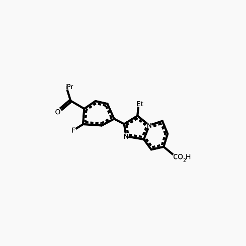 CCc1c(-c2ccc(C(=O)C(C)C)c(F)c2)nc2cc(C(=O)O)ccn12